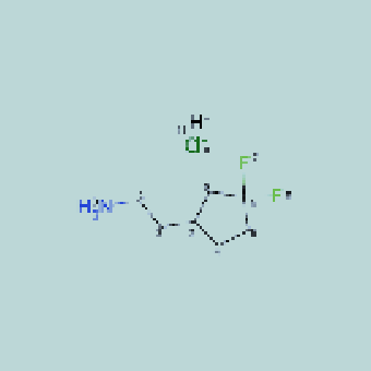 NCCC1CCC(F)(F)C1.[Cl-].[H+]